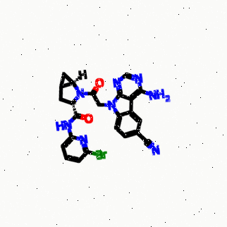 N#Cc1ccc2c(c1)c1c(N)ncnc1n2CC(=O)N1[C@@H]2CC2C[C@H]1C(=O)Nc1cccc(Br)n1